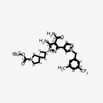 Cc1cc(Cn2cc(-c3nn([C@H]4C[C@@]5(CCN(C(=O)OC(C)(C)C)C5)C4)c(N)c3C(N)=O)cn2)cc(C(F)(F)F)c1